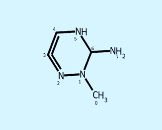 CN1N=C=CNC1N